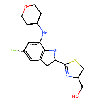 OC[C@@H]1CSC(C2Cc3cc(F)cc(NC4CCOCC4)c3N2)=N1